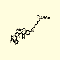 COC(=O)CCCCCCN(C)c1ccc(NC(=O)c2cccc(-c3ccnn3PI)n2)c(OC)c1